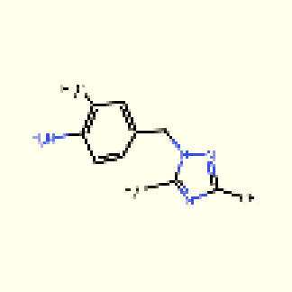 Cc1cc(Cn2nc(C(F)(F)F)nc2C(F)(F)F)ccc1N